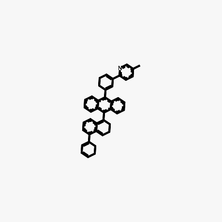 Cc1ccc(C2=CCCC(c3c4ccccc4c(C4=c5cccc(C6=CC=CCC6)c5=CCC4)c4ccccc34)=C2)nc1